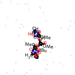 C=C1C[C@H]2[C@H](O)N(C(=O)O)c3cc(OCc4cc(COc5cc6c(cc5OC)C(=O)N5CC(=C)C[C@H]5[C@H](OC5CCCCO5)N6C(=O)OC(C)(C)C)cc(C(=O)OC)c4)c(OC)cc3C(=O)N2C1